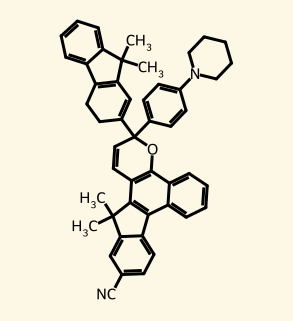 CC1(C)C2=C(CCC(C3(c4ccc(N5CCCCC5)cc4)C=Cc4c5c(c6ccccc6c4O3)-c3ccc(C#N)cc3C5(C)C)=C2)c2ccccc21